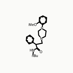 CCCCNC(=O)C(CN1CCN(c2ccccc2OC)CC1)c1ccccc1